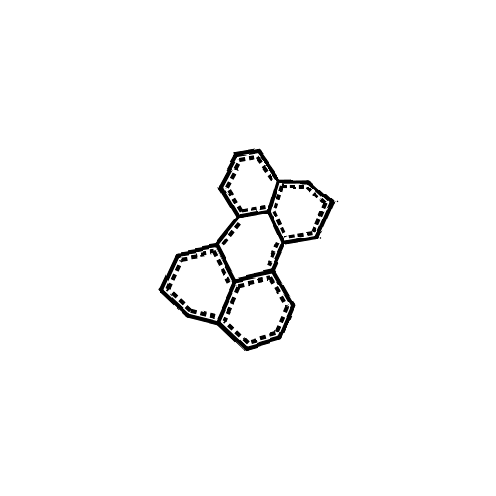 [c]1[c]c2c3cccc4cccc(c5cccc(c1)c25)c43